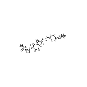 COc1ccc(COCc2cc3n(n2)CC(NC(=O)OC(C)(C)C)CC3)cc1